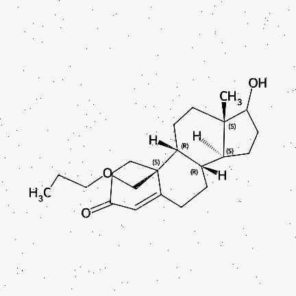 CCCOC[C@]12CCC(=O)C=C1CC[C@@H]1[C@H]2CC[C@]2(C)C(O)CC[C@@H]12